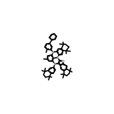 Cc1cc2c3c(c1)N(c1ccc4c(c1)C(C)(C)CCC4(C)C)c1c(oc4cc5c(cc14)C(C)(C)CCC5(C)C)B3c1cc3c(cc1N2c1cc(-c2ccccc2)ccc1C)C(C)(C)CCC3(C)C